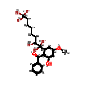 COc1cc(O)c(C(=O)c2ccccc2)c(C(Br)(Br)C(Br)CCCCCC(Br)(Br)Br)c1